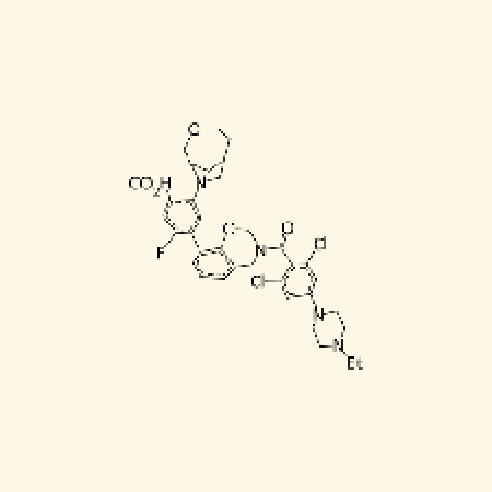 CCN1CCN(c2cc(Cl)c(C(=O)N3COc4c(cccc4-c4cc(N5CC6CCOCC5C6)c(C(=O)O)cc4F)C3)c(Cl)c2)CC1